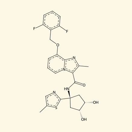 Cc1cnc([C@@]2(NC(=O)c3c(C)nc4c(OCc5c(F)cccc5F)cccn34)C[C@@H](O)[C@@H](O)C2)s1